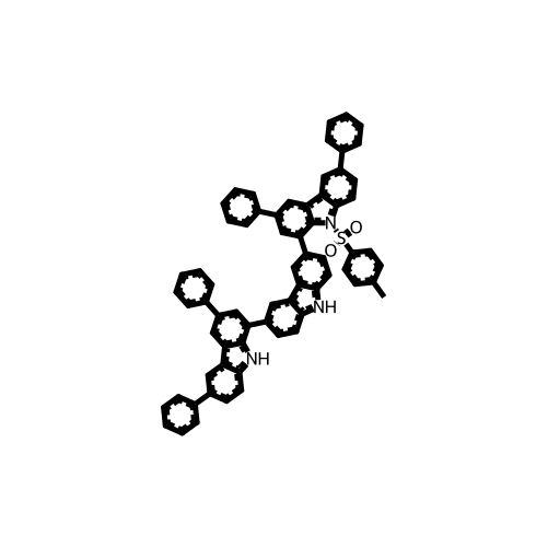 Cc1ccc(S(=O)(=O)n2c3ccc(-c4ccccc4)cc3c3cc(-c4ccccc4)cc(-c4ccc5[nH]c6ccc(-c7cc(-c8ccccc8)cc8c7[nH]c7ccc(-c9ccccc9)cc78)cc6c5c4)c32)cc1